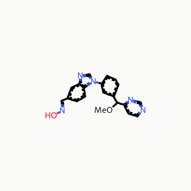 COC(c1cccc(-n2cnc3cc(/C=N/O)ccc32)c1)c1ccncn1